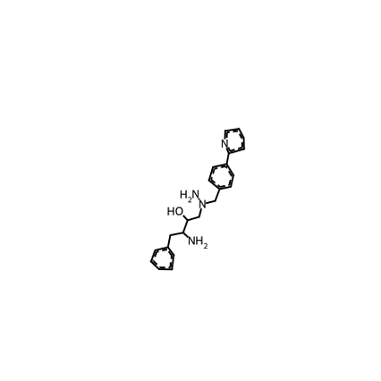 NC(Cc1ccccc1)C(O)CN(N)Cc1ccc(-c2ccccn2)cc1